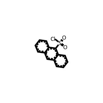 O=S(=O)(Cl)c1c2ccccc2cc2ccccc12